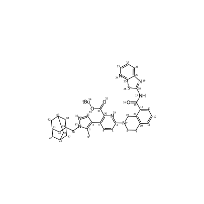 Cc1c(-c2ccc(N3CCc4cccc(C(=O)Nc5nc6cccnc6s5)c4C3)nc2C(=O)OC(C)(C)C)cnn1CC12CC3CC(CC(C3)C1)C2